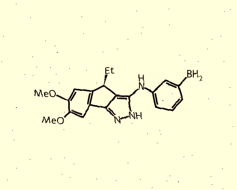 Bc1cccc(Nc2[nH]nc3c2[C@H](CC)c2cc(OC)c(OC)cc2-3)c1